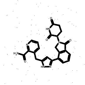 NC(=O)c1ncccc1Cc1cc(-c2cccc3c2CN(C2CCC(=O)NC2=O)C3=O)n[nH]1